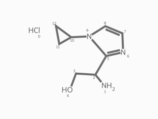 Cl.NC(CO)c1nccn1C1CC1